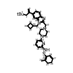 C=C(CC(C)(C)C)c1ccc2nc(CN3CCN(c4cccc(NSC5=C(C)CCC=C5)n4)CC3)n(CC3CCC3)c2c1